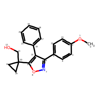 COc1ccc(-c2noc(C3(CO)CC3)c2-c2ccccc2)cc1